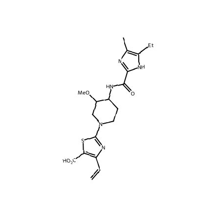 C=Cc1nc(N2CCC(NC(=O)c3nc(C)c(CC)[nH]3)C(OC)C2)sc1C(=O)O